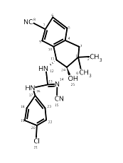 CC1(C)Cc2ccc(C#N)cc2[C@@H](NC(=NC#N)Nc2ccc(Cl)cc2)[C@@H]1O